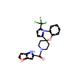 O=C(c1cc2occc2[nH]1)N1CCC2(CC1)Oc1ccccc1-n1c(C(F)(F)F)ccc12